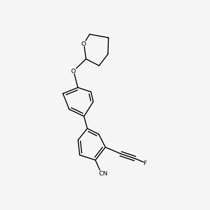 N#Cc1ccc(-c2ccc(OC3CCCCO3)cc2)cc1C#CF